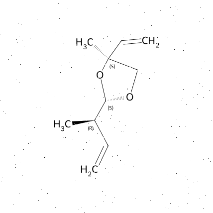 C=C[C@@H](C)[C@H]1OC[C@](C)(C=C)O1